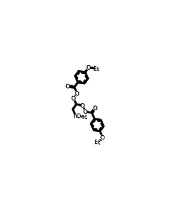 [CH2]CCCCCCCCCC[C](OOC(=O)c1ccc(OCC)cc1)OOC(=O)c1ccc(OCC)cc1